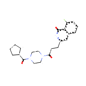 O=C(CCc1cc2cccc(F)c2c(=O)[nH]1)N1CCN(C(=O)C2CCCC2)CC1